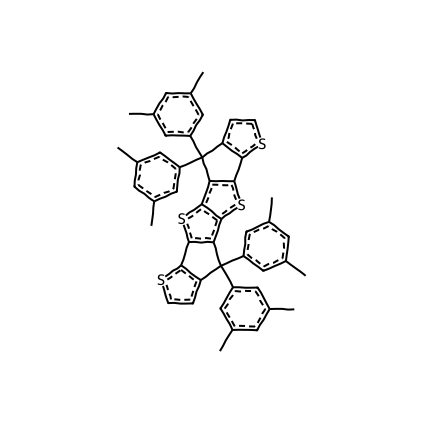 Cc1cc(C)cc(C2(c3cc(C)cc(C)c3)c3ccsc3-c3sc4c5c(sc4c32)-c2sccc2C5(c2cc(C)cc(C)c2)c2cc(C)cc(C)c2)c1